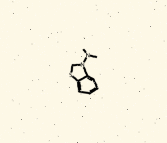 CN(C)N1CSc2ccccc21